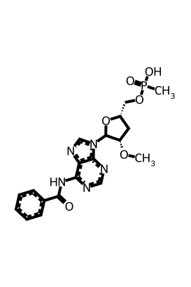 CO[C@H]1C[C@@H](COP(C)(=O)O)OC1n1cnc2c(NC(=O)c3ccccc3)ncnc21